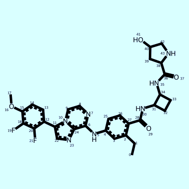 CCc1cc(Nc2nccn3c(-c4ccc(OC)c(F)c4F)cnc23)ccc1C(=O)NC1CCC1NC(=O)C1CC(O)CN1